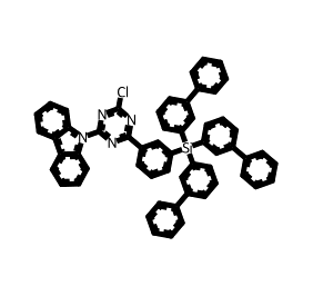 Clc1nc(-c2cccc([Si](c3cccc(-c4ccccc4)c3)(c3cccc(-c4ccccc4)c3)c3cccc(-c4ccccc4)c3)c2)nc(-n2c3ccccc3c3ccccc32)n1